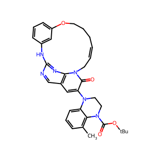 Cc1cccc2c1N(C(=O)OC(C)(C)C)CCN2c1cc2cnc3nc2n(c1=O)C/C=C\CCCOc1cccc(c1)N3